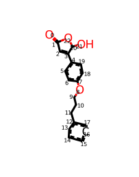 O=C1C=C(c2ccc(OCCCc3ccccc3)cc2)C(O)O1